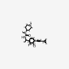 CC(NC(=O)N(C)C1CCN(C)CC1)c1ccc(C#CC2CC2)c(Cl)c1F